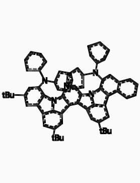 CC(C)(C)c1cc(N(c2ccccc2)c2ccccc2)c2c(c1)c1cc(C(C)(C)C)cc3c4c5c6cc(C(C)(C)C)cc7c8c9ccccc9cc(N(c9ccccc9)c9ccccc9)c8n(c5cnc4n2c13)c67